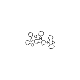 C1=CCCC(n2c3cc(N4C5=CC=CCC5Oc5ccccc54)ccc3c3cc4c5c(c32)Oc2ccccc2B5c2ccccc2O4)=C1